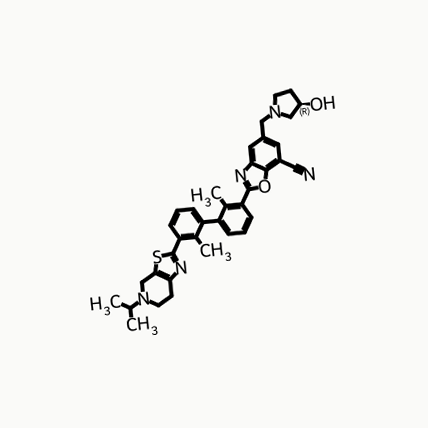 Cc1c(-c2nc3cc(CN4CC[C@@H](O)C4)cc(C#N)c3o2)cccc1-c1cccc(-c2nc3c(s2)CN(C(C)C)CC3)c1C